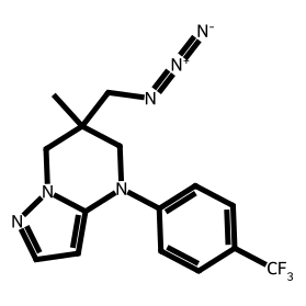 CC1(CN=[N+]=[N-])CN(c2ccc(C(F)(F)F)cc2)c2ccnn2C1